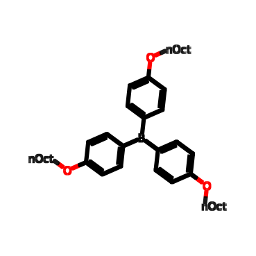 CCCCCCCCOc1ccc(B(c2ccc(OCCCCCCCC)cc2)c2ccc(OCCCCCCCC)cc2)cc1